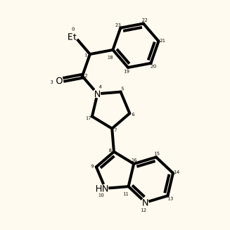 CCC(C(=O)N1CCC(c2c[nH]c3ncccc23)C1)c1ccccc1